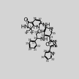 O=C1NC(F)(F)c2nc(Nc3cc(N[C@H](CO)c4ccccc4)c(-c4nnc(-c5ccccn5)o4)cn3)ccc21